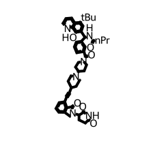 CCCC(=O)NC(c1cccc(C(=O)N2CCC(N3CCC(C#Cc4cccc5c4C(=O)N(C4CCC(=O)NC4=O)C5)CC3)CC2)c1)c1cc(C(C)(C)C)c2cccnc2c1O